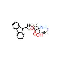 CC(C)C(O)C(N)(C(=O)O)C(=O)OCCC1c2ccccc2-c2ccccc21